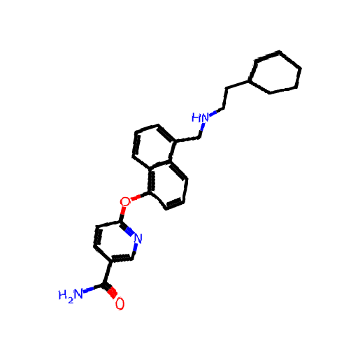 NC(=O)c1ccc(Oc2cccc3c(CNCCC4CCCCC4)cccc23)nc1